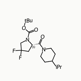 CC(C)C1CCN(C(=O)[C@@H]2CC(F)(F)CN2C(=O)OC(C)(C)C)CC1